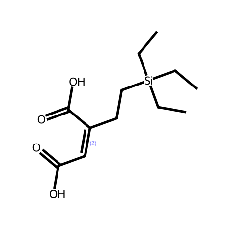 CC[Si](CC)(CC)CC/C(=C/C(=O)O)C(=O)O